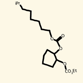 CCOC(=O)OC1CCCCC1OC(=O)OCCCCCCC(C)C